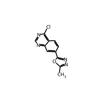 Cc1nnc(-c2ccc3c(Cl)ncnc3c2)o1